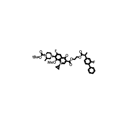 COc1c(N2CCN(C(=O)OC(C)(C)C)C(C)C2)c(F)cc2c(=O)c(C(=O)OCCOC(=O)C(C)c3ccc(-c4ccccc4)c(F)c3)cn(C3CC3)c12